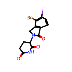 O=C1CCC(N2Cc3c(ccc(I)c3Br)C2=O)C(=O)N1